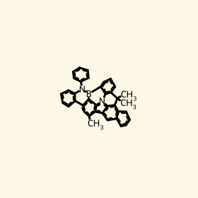 Cc1cc2c3c4c1c1cc5ccccc5c5c1n4-c1c(cccc1C5(C)C)B3N(c1ccccc1)c1ccccc1-2